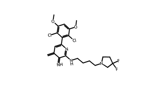 C=C1C=C(c2c(Cl)c(OC)cc(OC)c2Cl)N=C(NCCCCN2CCC(F)(F)C2)C1=N